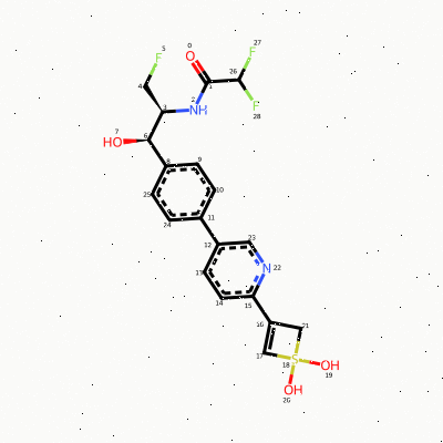 O=C(N[C@H](CF)[C@H](O)c1ccc(-c2ccc(C3=CS(O)(O)C3)nc2)cc1)C(F)F